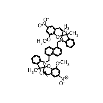 COc1cc([N+](=O)[O-])cc2c1OC1(C=C2)N(Cc2cccc3c(CN4c5ccccc5C(C)(C)C45C=Cc4cc([N+](=O)[O-])cc(OC)c4O5)cccc23)c2ccccc2C1(C)C